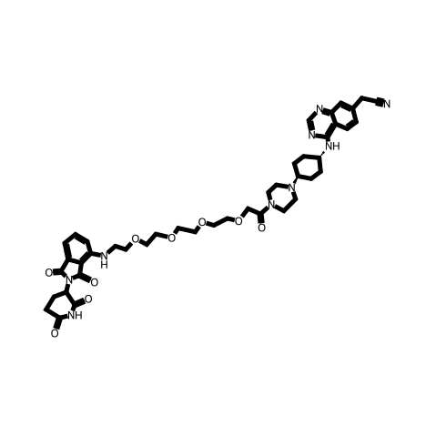 N#CCc1ccc2c(N[C@H]3CC[C@H](N4CCN(C(=O)COCCOCCOCCOCCNc5cccc6c5C(=O)N(C5CCC(=O)NC5=O)C6=O)CC4)CC3)ncnc2c1